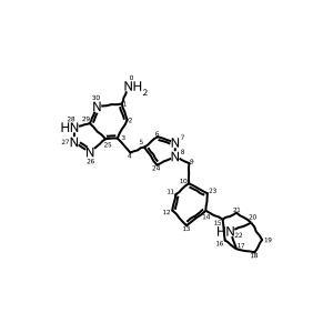 Nc1cc(Cc2cnn(Cc3cccc(C4CC5CCC(C4)N5)c3)c2)c2nn[nH]c2n1